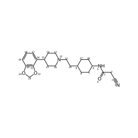 N#CCC(=O)NC1CCC(CCN2CCC(c3cccc4c3OCO4)CC2)CC1